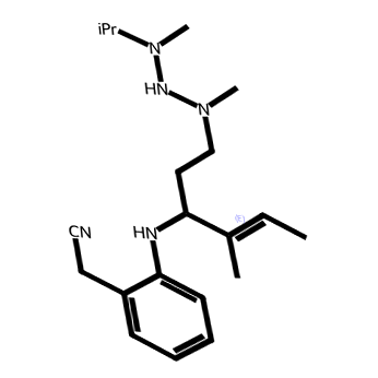 C/C=C(\C)C(CCN(C)NN(C)C(C)C)Nc1ccccc1CC#N